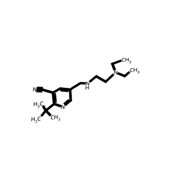 CCN(CC)CCNCc1cnc(C(C)(C)C)c(C#N)c1